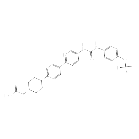 O=C(O)C[C@H]1CC[C@@H](c2ccc(-c3ccc(NC(=O)Nc4ccc(OC(F)(F)F)cc4)cn3)cc2)CC1